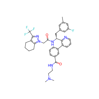 Cc1cc(F)cc(C[C@H](NC(=O)Cn2nc(C(F)(F)F)c3c2CCCC3)c2ncccc2-c2cccc(C(=O)NCCN(C)C)c2)c1